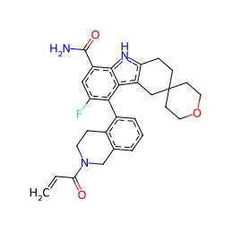 C=CC(=O)N1CCc2c(cccc2-c2c(F)cc(C(N)=O)c3[nH]c4c(c23)CC2(CCOCC2)CC4)C1